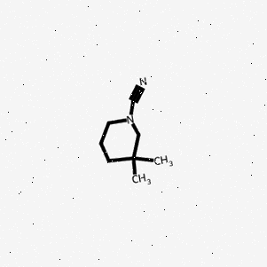 CC1(C)CCCN(C#N)C1